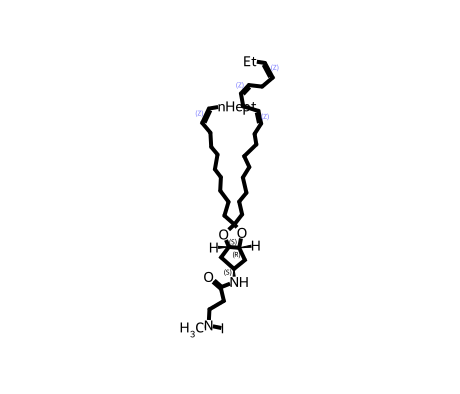 CC/C=C\C/C=C\C/C=C\CCCCCCCCC1(CCCCCCCC/C=C\CCCCCCC)O[C@H]2C[C@H](NC(=O)CCN(C)I)C[C@H]2O1